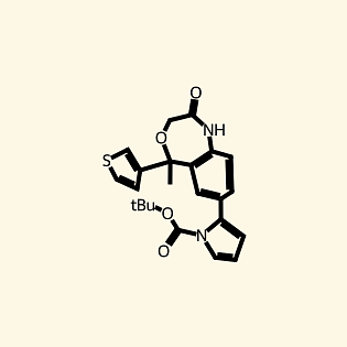 CC(C)(C)OC(=O)n1cccc1-c1ccc2c(c1)C(C)(c1ccsc1)OCC(=O)N2